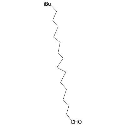 CCC(C)CCCCCCCCCCCCCCC=O